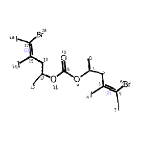 CC(C/C(I)=C(\Br)I)OC(=O)OC(C)C/C(I)=C(\Br)I